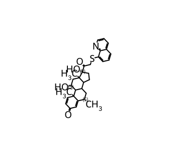 C[C@H]1CC2C([C@@H](O)CC3(C)C2CC[C@]3(O)C(=O)CSc2cccc3cccnc23)C2(C)C=CC(=O)C=C12